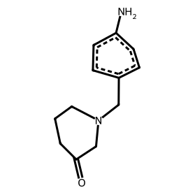 Nc1ccc(CN2CCCC(=O)C2)cc1